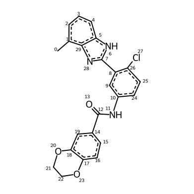 Cc1cccc2[nH]c(-c3cc(NC(=O)c4ccc5c(c4)OCCO5)ccc3Cl)nc12